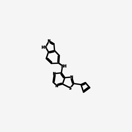 C1=CC(c2nc3c(Nc4ccc5[nH]ncc5c4)ncnc3s2)=C1